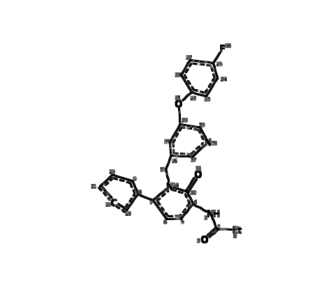 CCC(=O)Nc1ccc(-c2ccccc2)n(Cc2cncc(Oc3ccc(F)cc3)c2)c1=O